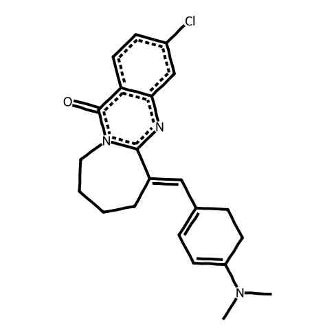 CN(C)C1=CC=C(/C=C2\CCCCn3c2nc2cc(Cl)ccc2c3=O)CC1